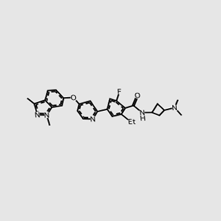 CCc1cc(-c2cc(Oc3ccc4c(C)nn(C)c4c3)ccn2)cc(F)c1C(=O)NC1CC(N(C)C)C1